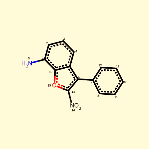 Nc1cccc2c(-c3ccccc3)c([N+](=O)[O-])oc12